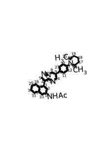 CC(=O)Nc1cc(-c2cnn3cc(-c4ccc(N5[C@H](C)CCC[C@@H]5C)cc4)cnc23)c2ccccc2c1